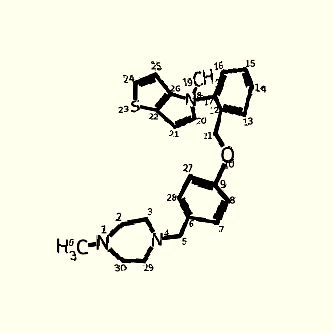 CN1CCN(Cc2ccc(OCc3ccccc3[N+]3(C)C=Cc4sccc43)cc2)CC1